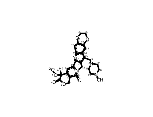 CCC1(OC(C)C)C(=O)OCc2c1cc1n(c2=O)Cc2c-1nc1cc3c(cc1c2CN1CCN(C)CC1)OCCO3